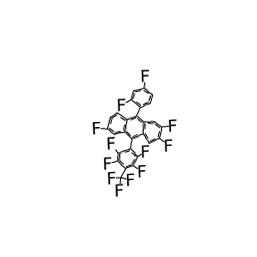 Fc1ccc(-c2c3ccc(F)cc3c(-c3c(F)c(F)c(C(F)(F)F)c(F)c3F)c3cc(F)c(F)cc23)c(F)c1